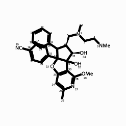 CNCCN(C)C[C@@H]1C(c2ccccc2)C2(c3ccc(C#N)cc3)Oc3cc(C)nc(OC)c3C2(O)[C@@H]1O